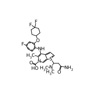 CC1=C(Nc2ccc(F)cc2OC2CCC(F)(F)CC2)C2=CC=S(C(CC(N)=O)N(C)C)C2=CN1C(=O)O